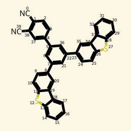 N#Cc1ccc(-c2cc(-c3ccc4sc5ccccc5c4c3)cc(-c3ccc4sc5ccccc5c4c3)c2)cc1C#N